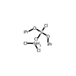 CC(C)O[Si](Cl)(Cl)OC(C)C.Cl[SiH2]Cl